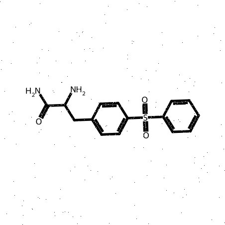 NC(=O)C(N)Cc1ccc(S(=O)(=O)c2ccccc2)cc1